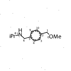 COCc1ccc(CNC(C)C)cc1